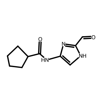 O=Cc1nc(NC(=O)C2CCCC2)c[nH]1